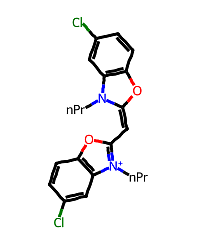 CCCN1/C(=C\c2oc3ccc(Cl)cc3[n+]2CCC)Oc2ccc(Cl)cc21